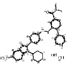 CN(C)C(=O)c1ccc(-c2ccncc2)c(COc2ccc(-c3nc4cc(C(=O)O)ccc4n3C3CCCCC3)cc2)c1.Cl.Cl